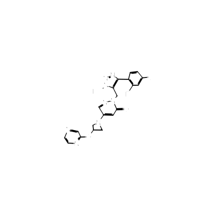 Cn1nnc(-c2ccc(Cl)cc2F)c1Cn1ncc(N2CC(Oc3cnccn3)C2)cc1=O